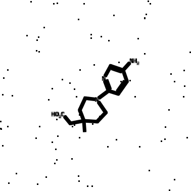 CC1(CC(=O)O)CCN(c2ccc(N)cn2)CC1